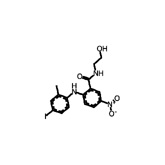 Cc1cc(I)ccc1Nc1ccc([N+](=O)[O-])cc1C(=O)NCCO